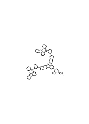 C=C/C=C\C(=C/C)c1cc2c3cc4ccc(-c5cccc(N(c6ccccc6)c6cccc7c6oc6ccccc67)c5)cc4cc3n3c4cc5cc(-c6cccc(N(c7ccccc7)c7cccc8c7oc7ccccc78)c6)ccc5cc4c(c1)c23